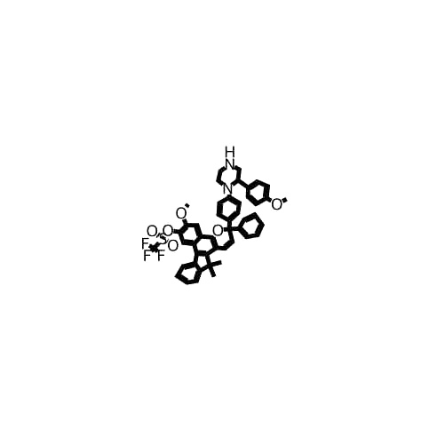 COc1ccc(C2CNCCN2c2ccc(C3(c4ccccc4)C=Cc4c5c(c6cc(OS(=O)(=O)C(F)(F)F)c(OC)cc6c4O3)-c3ccccc3C5(C)C)cc2)cc1